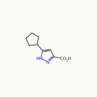 O=C(O)c1cc(C2CCCC2)[nH]n1